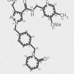 COCc1nn(Cc2ccc(Cn3ccccc3=O)cc2)cc1C(=O)NCc1cc(OC)c(C)cn1